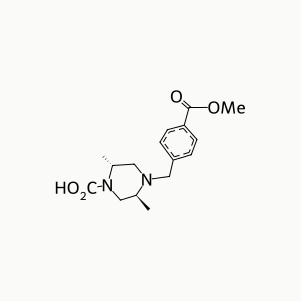 COC(=O)c1ccc(CN2C[C@@H](C)N(C(=O)O)C[C@@H]2C)cc1